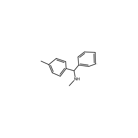 CNC(c1c[c]ccc1)c1ccc(C)cc1